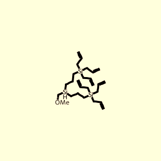 C=CC[Si](CC=C)(CC=C)CCC[SiH](CCC[Si](CC=C)(CC=C)CC=C)COC